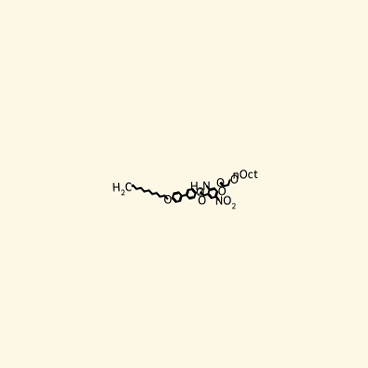 C=CCCCCCCCCOc1ccc(-c2ccc(OC(=O)c3cc([N+](=O)[O-])c(OC(=O)CCOCCCCCCCC)cc3N)cc2)cc1